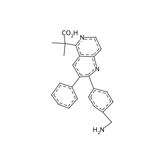 CC(C)(C(=O)O)c1nccc2nc(-c3ccc(CN)cc3)c(-c3ccccc3)cc12